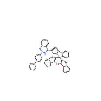 c1ccc(-c2ccc(-c3nc(-c4ccc5c(c4)C4(c6ccccc6-5)c5ccc6ccccc6c5Oc5c4ccc4ccccc54)c4ccccc4n3)cc2)cc1